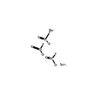 [Na+].[O]=[Zr]([O-])[F].[O]=[Zr]([O-])[F].[O]=[Zr]([O-])[F].[Sn+2]